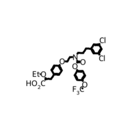 CCOC(Cc1ccc(OCCN(CCCc2cc(Cl)cc(Cl)c2)C(=O)Oc2ccc(OC(F)(F)F)cc2)cc1)C(=O)O